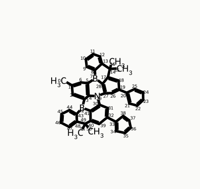 Cc1cc2c3c(c1)B1c4ccccc4C(C)(C)c4cc(-c5ccccc5)cc(c41)N3c1cc(-c3ccccc3)cc3c1B2c1ccccc1C3(C)C